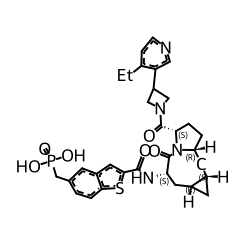 CCc1ccncc1C1CN(C(=O)[C@@H]2CC[C@@H]3C[C@@H]4C[C@@H]4C[C@H](NC(=O)c4cc5cc(CP(=O)(O)O)ccc5s4)C(=O)N32)C1